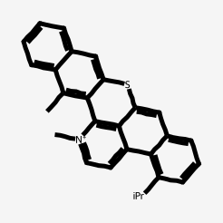 Cc1c2c(cc3ccccc13)Sc1cc3cccc(C(C)C)c3c3cc[n+](C)c-2c13